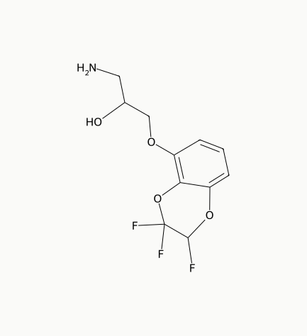 NCC(O)COc1cccc2c1OC(F)(F)C(F)O2